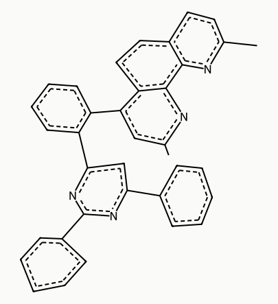 Cc1ccc2ccc3c(-c4ccccc4-c4cc(-c5ccccc5)nc(-c5ccccc5)n4)cc(C)nc3c2n1